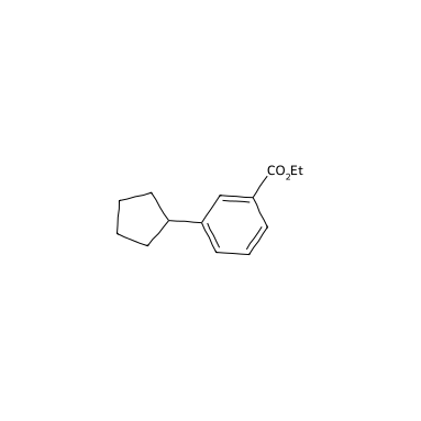 CCOC(=O)c1cccc(C2CCCC2)c1